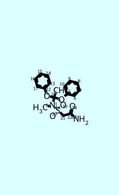 CN(C(C)(Oc1ccccc1)Oc1ccccc1)S(=O)(=O)CC(N)=O